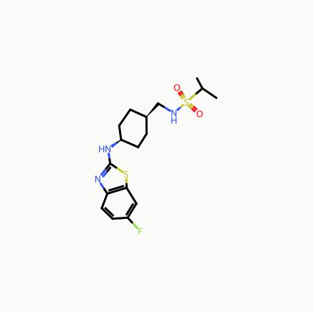 CC(C)S(=O)(=O)NC[C@H]1CC[C@@H](Nc2nc3ccc(F)cc3s2)CC1